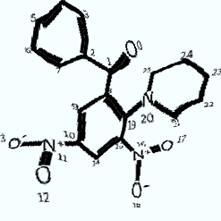 O=C(c1ccccc1)c1cc([N+](=O)[O-])cc([N+](=O)[O-])c1N1CCCCC1